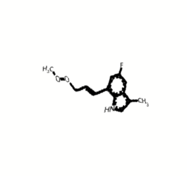 COOC/C=C/c1cc(F)cc2c(C)c[nH]c12